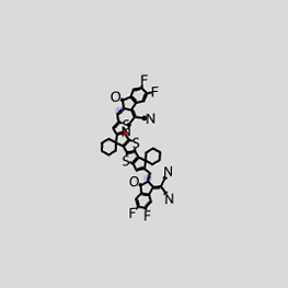 N#CC(C#N)=C1/C(=C/C2=Cc3sc4c5c(sc4c3C23CCCCC3)-c2sc(/C=C3/C(=O)c4cc(F)c(F)cc4C3=C(C#N)C#N)cc2C52CCCCC2)C(=O)c2cc(F)c(F)cc21